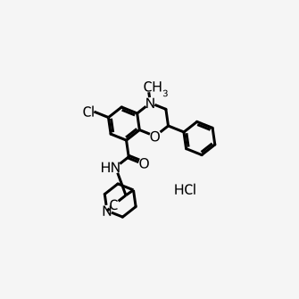 CN1CC(c2ccccc2)Oc2c(C(=O)NC3CN4CCC3CC4)cc(Cl)cc21.Cl